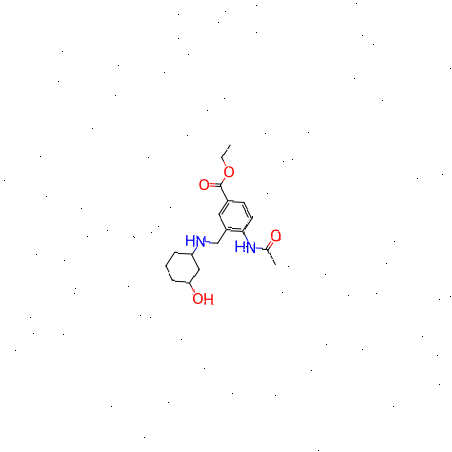 CCOC(=O)c1ccc(NC(C)=O)c(CNC2CCCC(O)C2)c1